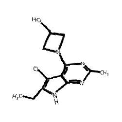 CCc1[nH]c2nc(C)nc(N3CC(O)C3)c2c1Cl